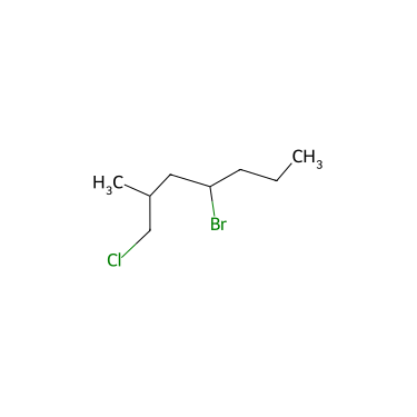 CCCC(Br)CC(C)CCl